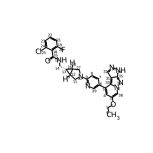 CCOc1cc(-c2ccc(N3C[C@@H]4[C@H](CNC(=O)c5c(F)cccc5Cl)[C@@H]4C3)nc2)c2c3cn[nH]c3nn2c1